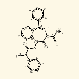 CC(C)N(C(=O)CN1C(=O)C(C(N)=O)N=C(c2ccccc2)c2ccccc21)c1ccccc1